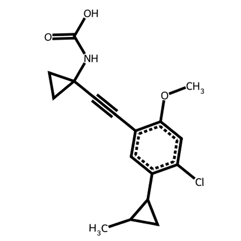 COc1cc(Cl)c(C2CC2C)cc1C#CC1(NC(=O)O)CC1